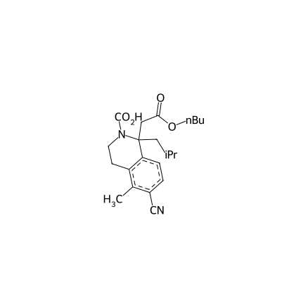 CCCCOC(=O)CC1(CC(C)C)c2ccc(C#N)c(C)c2CCN1C(=O)O